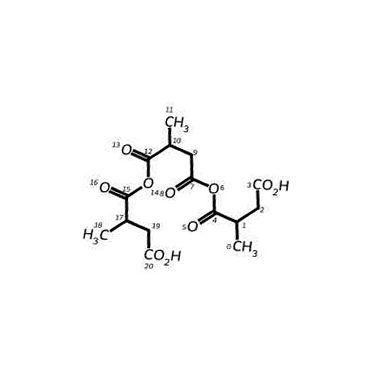 CC(CC(=O)O)C(=O)OC(=O)CC(C)C(=O)OC(=O)C(C)CC(=O)O